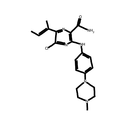 CC=C(C)c1nc(C(N)=O)c(Nc2ccc(N3CCN(C)CC3)cc2)nc1Cl